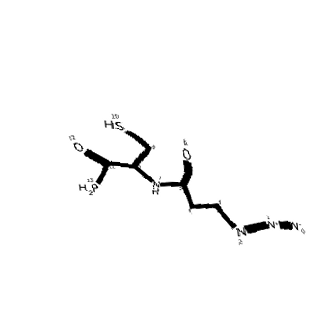 [N-]=[N+]=NCCC(=O)NC(CS)C(=O)P